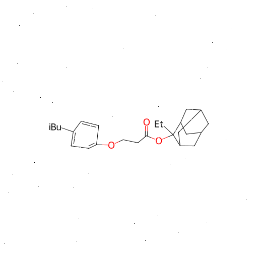 CCC(C)c1ccc(OCCC(=O)OC2(CC)C3CC4CC(C3)CC2C4)cc1